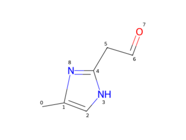 Cc1c[nH]c(CC=O)n1